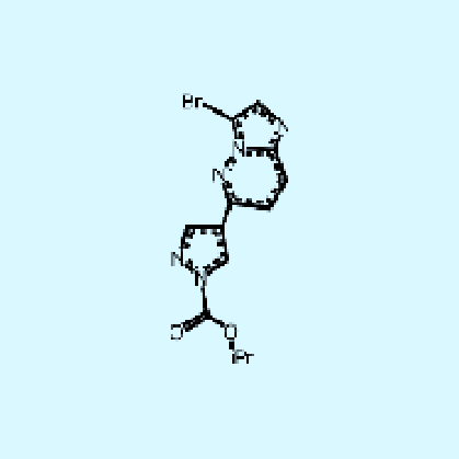 CC(C)OC(=O)n1cc(-c2ccc3ncc(Br)n3n2)cn1